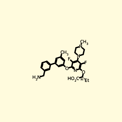 CC[C@@H](Oc1nc(Oc2cc(C)cc(-c3cccc(CN)c3)c2)c(F)c(N2CCN(C)CC2)c1F)C(=O)O